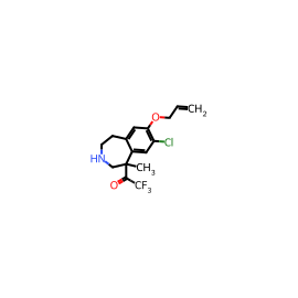 C=CCOc1cc2c(cc1Cl)C(C)(C(=O)C(F)(F)F)CNCC2